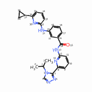 CC(C)n1cnnc1-c1cccc(NC(=O)c2cccc(Nc3cccc(C4CC4)n3)c2)n1